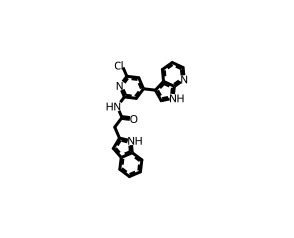 O=C(Cc1cc2ccccc2[nH]1)Nc1cc(-c2c[nH]c3ncccc23)cc(Cl)n1